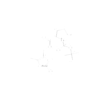 Cc1oc(=O)oc1COC(=O)[C@@H]1CCCN1C(=O)OC(C)(C)C